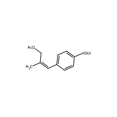 CCCCCCCCc1ccc(C=C(C)COC(C)=O)cc1